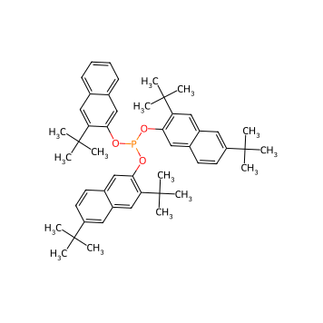 CC(C)(C)c1ccc2cc(OP(Oc3cc4ccccc4cc3C(C)(C)C)Oc3cc4ccc(C(C)(C)C)cc4cc3C(C)(C)C)c(C(C)(C)C)cc2c1